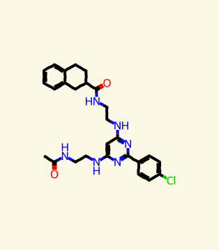 CC(=O)NCCNc1cc(NCCNC(=O)C2CCc3ccccc3C2)nc(-c2ccc(Cl)cc2)n1